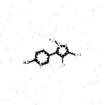 CCc1c(C=O)nn(C)c1-c1ccc(C)nc1